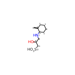 C=C1CCCCC1NCC(O)CS(=O)(=O)O